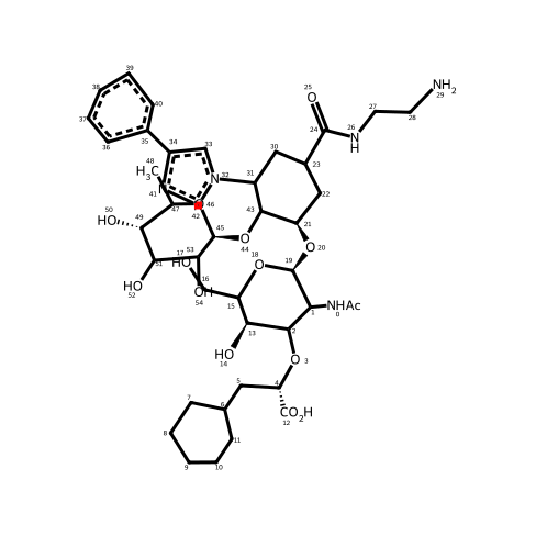 CC(=O)NC1C(O[C@@H](CC2CCCCC2)C(=O)O)[C@@H](O)C(CO)O[C@H]1O[C@@H]1CC(C(=O)NCCN)CC(n2cc(-c3ccccc3)nn2)C1O[C@@H]1OC(C)[C@@H](O)C(O)C1O